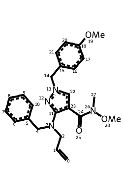 C=CCN(Cc1ccccc1)c1nn(Cc2ccc(OC)cc2)cc1C(=O)N(C)OC